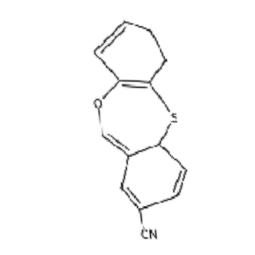 N#CC1=CC2=COC3=C(CCC=C3)SC2C=C1